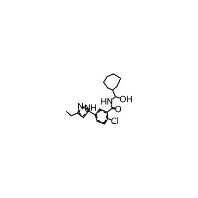 CCc1cc(-c2ccc(Cl)c(C(=O)NC(O)C3CCCCCC3)c2)[nH]n1